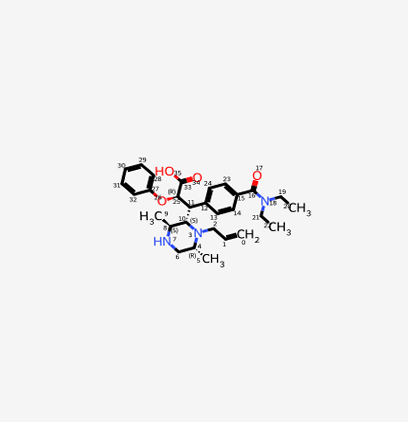 C=CCN1[C@H](C)CN[C@@H](C)[C@@H]1C(c1ccc(C(=O)N(CC)CC)cc1)[C@@H](Oc1ccccc1)C(=O)O